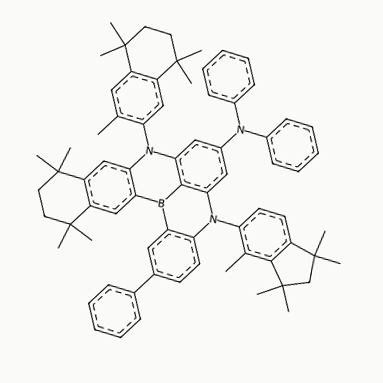 Cc1cc2c(cc1N1c3cc4c(cc3B3c5cc(-c6ccccc6)ccc5N(c5ccc6c(c5C)C(C)(C)CC6(C)C)c5cc(N(c6ccccc6)c6ccccc6)cc1c53)C(C)(C)CCC4(C)C)C(C)(C)CCC2(C)C